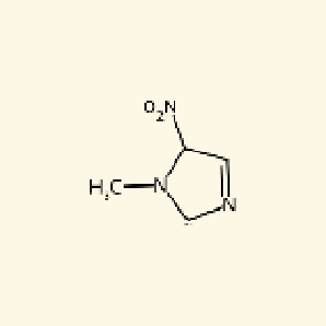 CN1[C]N=CC1[N+](=O)[O-]